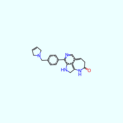 O=C1CC=c2cnc(-c3ccc(CN4CC=CC4)cc3)c3c2=C(CN3)N1